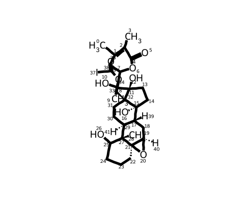 CC1=C(C)C(=O)OC(C(C)(O)[C@]2(O)CC[C@@]3(O)[C@@H]4C[C@H]5O[C@]56CCCC(O)[C@]6(C)[C@H]4CC[C@@]32COC(=O)I)C1